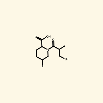 CC(CS)C(=O)N1CC(F)C[CH][C]1C(=O)O